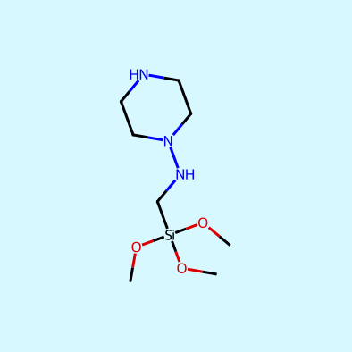 CO[Si](CNN1CCNCC1)(OC)OC